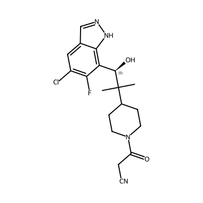 CC(C)(C1CCN(C(=O)CC#N)CC1)[C@H](O)c1c(F)c(Cl)cc2cn[nH]c12